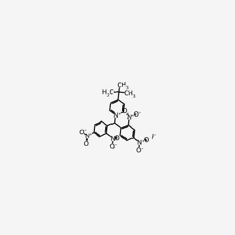 CC(C)(C)c1cc[n+](C(c2ccc([N+](=O)[O-])cc2[N+](=O)[O-])c2ccc([N+](=O)[O-])cc2[N+](=O)[O-])cc1.[I-]